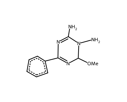 COC1N=C(c2ccccc2)N=C(N)N1N